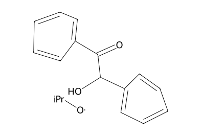 CC(C)[O].O=C(c1ccccc1)C(O)c1ccccc1